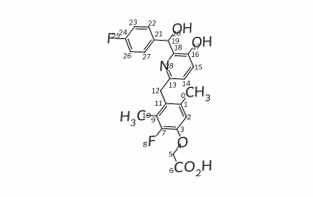 Cc1cc(OCC(=O)O)c(F)c(C)c1Cc1ccc(O)c(C(O)c2ccc(F)cc2)n1